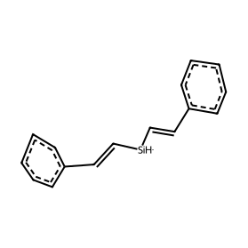 C(=Cc1ccccc1)[SiH]C=Cc1ccccc1